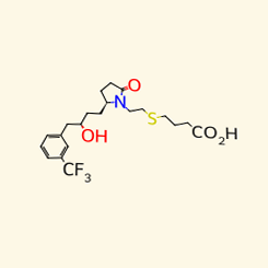 O=C(O)CCCSCCN1C(=O)CC[C@@H]1CC[C@@H](O)Cc1cccc(C(F)(F)F)c1